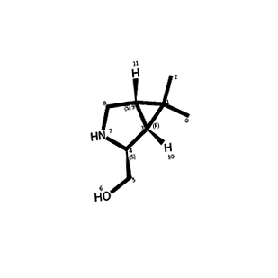 CC1(C)[C@@H]2[C@@H](CO)NC[C@@H]21